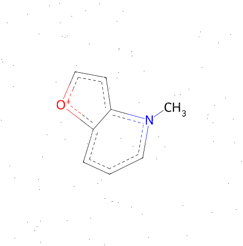 Cn1cccc2[o+]ccc1-2